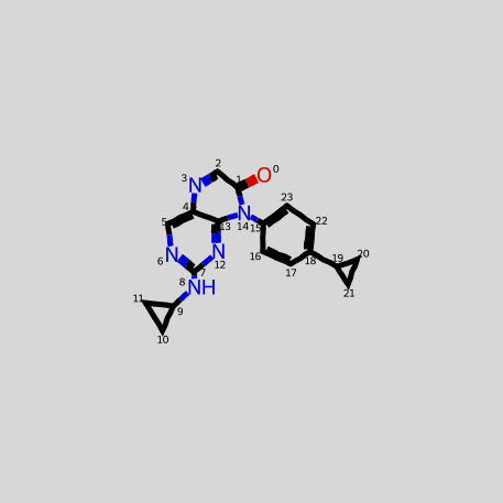 O=c1cnc2cnc(NC3CC3)nc2n1-c1ccc(C2CC2)cc1